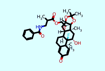 CC(CNC(=O)c1ccccc1)C(=O)OCC(=O)[C@@]12OC(C)(C)O[C@H]1C[C@H]1[C@@H]3CCC4=CC(=O)C=C[C@]4(C)C3(F)[C@@H](O)C[C@@]12C